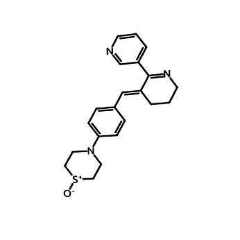 [O-][S+]1CCN(c2ccc(/C=C3\CCCN=C3c3cccnc3)cc2)CC1